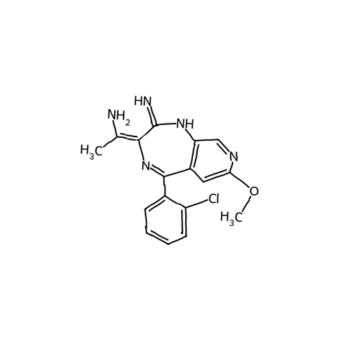 COc1cc2c(cn1)NC(=N)/C(=C(/C)N)N=C2c1ccccc1Cl